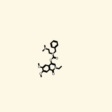 CCn1cc(OC(=O)N(CCN(C)C)Cc2ccccc2)c2cc(OC)c(OC)cc2c1=O